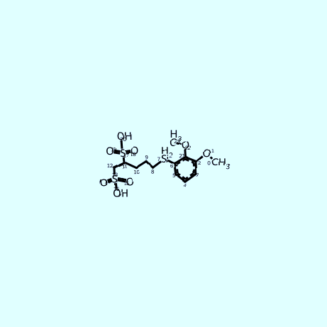 COc1cccc([SiH2]CCCC(CS(=O)(=O)O)S(=O)(=O)O)c1OC